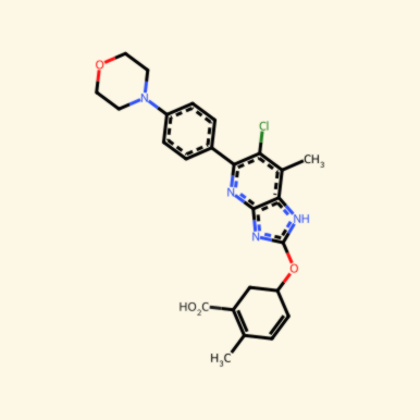 CC1=C(C(=O)O)CC(Oc2nc3nc(-c4ccc(N5CCOCC5)cc4)c(Cl)c(C)c3[nH]2)C=C1